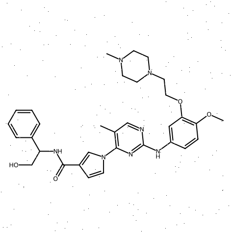 COc1ccc(Nc2ncc(C)c(-n3ccc(C(=O)NC(CO)c4ccccc4)c3)n2)cc1OCCN1CCN(C)CC1